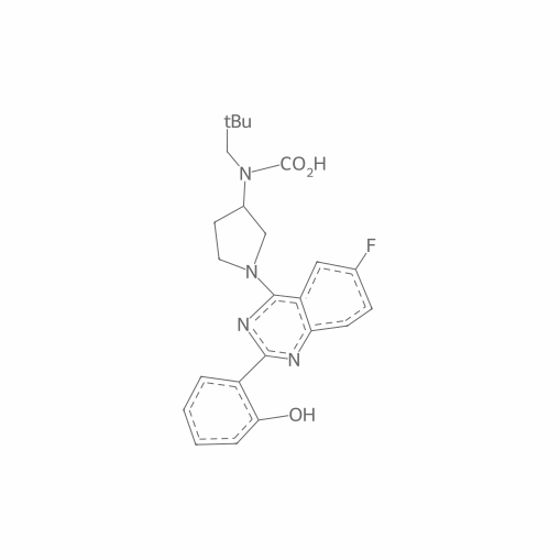 CC(C)(C)CN(C(=O)O)C1CCN(c2nc(-c3ccccc3O)nc3ccc(F)cc23)C1